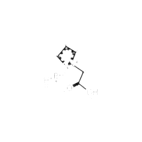 O=C(O)Cn1cccn1.[Br-].[H+]